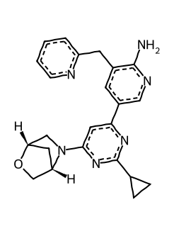 Nc1ncc(-c2cc(N3C[C@@H]4C[C@H]3CO4)nc(C3CC3)n2)cc1Cc1ccccn1